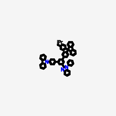 CC(C)Cc1ccc(C2(c3ccc(-c4cc(-c5ccc(-n6c7ccccc7c7ccccc76)cc5)cc(-c5nc6ccccc6n5-c5ccccc5)c4)cc3)c3ccccc3-c3ccccc32)cc1